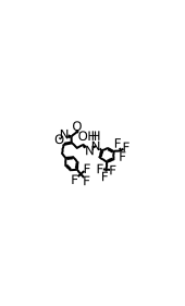 O=C(O)c1noc(Cc2ccc(C(F)(F)F)cc2)c1CC=NNc1cc(C(F)(F)F)cc(C(F)(F)F)c1